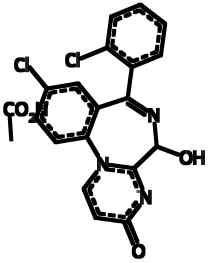 CC(=O)O.O=c1ccn2c(n1)C(O)N=C(c1ccccc1Cl)c1cc(Cl)ccc1-2